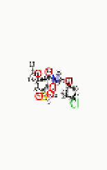 COc1c(S(C)(=O)=O)ccc(OC(C)C)c1C(=O)N1CC(Oc2ccc(Cl)cc2)C1